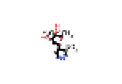 C[C@H]1OC(c2ccncc2[N+](=O)[O-])=C[C@@H](O)[C@]1(C)O